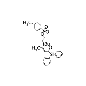 CC(=CC(OC(C)(C)C)[SiH](c1ccccc1)c1ccccc1)CCCOS(=O)(=O)c1ccc(C)cc1